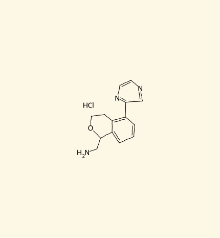 Cl.NCC1OCCc2c(-c3cnccn3)cccc21